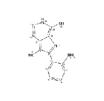 N#Cc1c(-c2ccccc2N)nc2c(S)[nH]cnc1-2